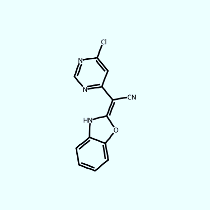 N#CC(=C1Nc2ccccc2O1)c1cc(Cl)ncn1